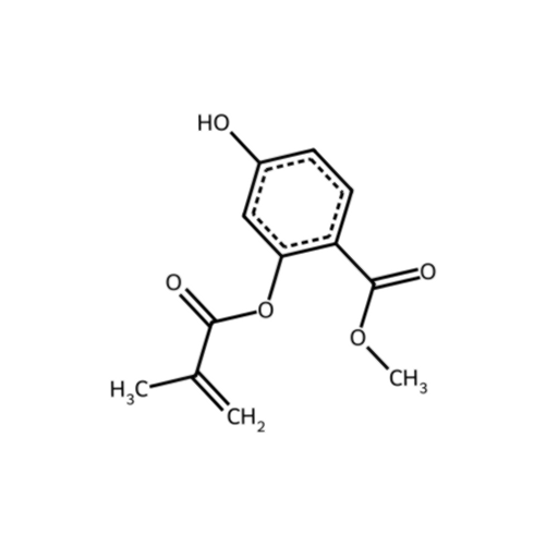 C=C(C)C(=O)Oc1cc(O)ccc1C(=O)OC